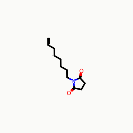 C=CC[CH]CCCCN1C(=O)CCC1=O